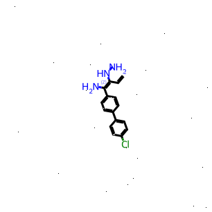 C=C/C(NN)=C(/N)c1ccc(-c2ccc(Cl)cc2)cc1